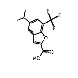 CC(C)c1cc(C(F)(F)F)c2oc(C(=O)O)cc2c1